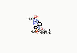 C[C@@H](CO)Nc1ncc2c(n1)-c1c(n(COCC[Si](C)(C)C)c3c(P(C)(C)=O)cccc13)CCC2